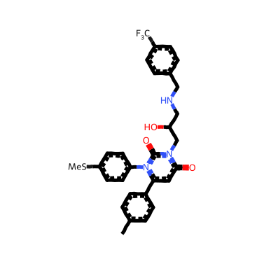 CSc1ccc(-n2c(-c3ccc(C)cc3)cc(=O)n(CC(O)CNCc3ccc(C(F)(F)F)cc3)c2=O)cc1